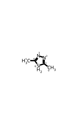 CC1=NN=C(C)[SiH2]1